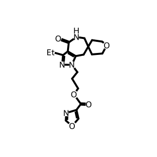 CCc1nn(CCCOC(=O)c2cocn2)c2c1C(=O)NCC1(CCOCC1)C2